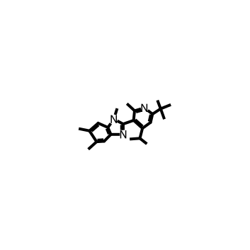 Cc1cc2nc(-c3c(C(C)C)cc(C(C)(C)C)nc3C)n(C)c2cc1C